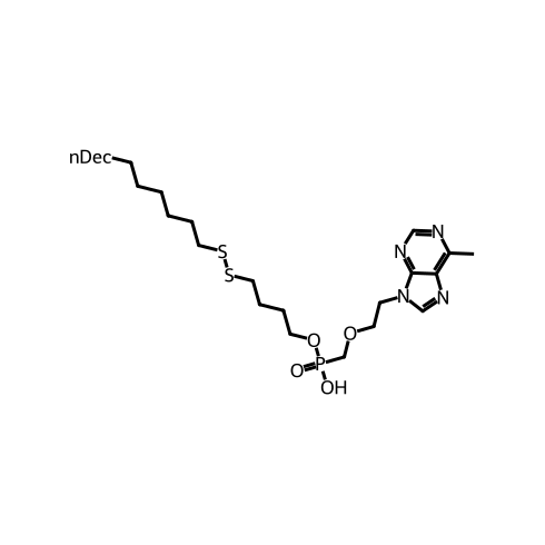 CCCCCCCCCCCCCCCCSSCCCCOP(=O)(O)COCCn1cnc2c(C)ncnc21